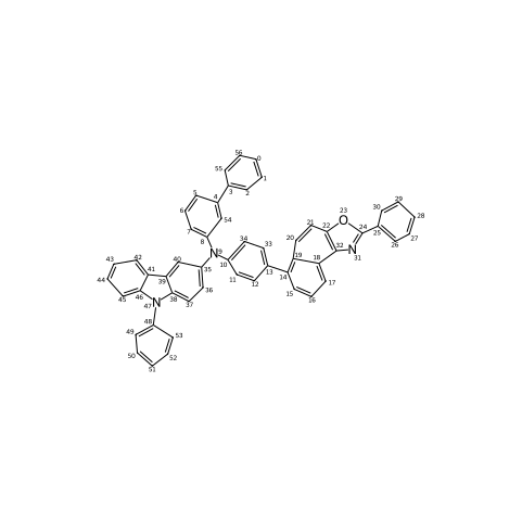 c1ccc(-c2cccc(N(c3ccc(-c4cccc5c4ccc4oc(-c6ccccc6)nc45)cc3)c3ccc4c(c3)c3ccccc3n4-c3ccccc3)c2)cc1